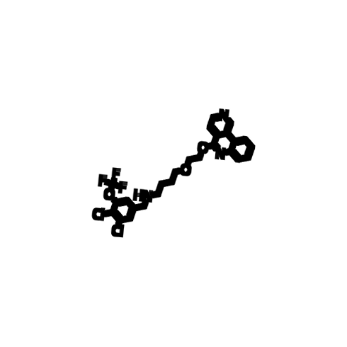 FC(F)(F)Oc1cc(CNCCCCOCCOc2nc3ccccc3c3cnccc23)cc(Cl)c1Cl